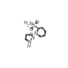 NS(=O)(=O)c1ccccn1.c1c[nH]nn1